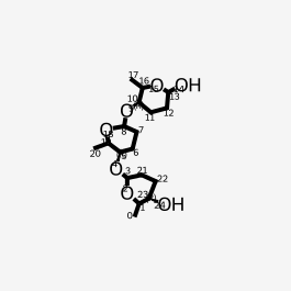 CC1OC(O[C@@H]2CCC(O[C@@H]3CCC(O)OC3C)OC2C)CC[C@H]1O